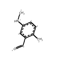 CNc1ccc(C)c(C=O)c1